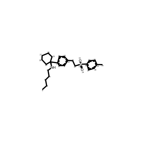 CCCCCNC1(c2ccc(CCS(=O)(=O)c3ccc(C)cc3)cc2)CCCCC1